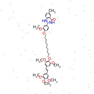 COc1cc(C2NC(=O)c3cc(C)ccc3N2)ccc1OCCCCCCCCCCOc1c(OC)cc(/C=C/c2cc(OC)c(OC)c(OC)c2)cc1OC